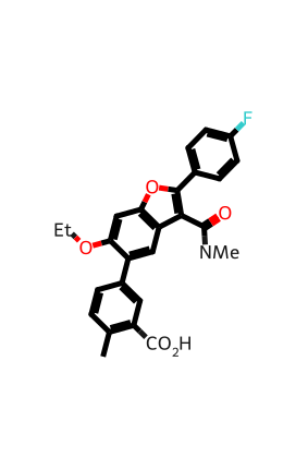 CCOc1cc2oc(-c3ccc(F)cc3)c(C(=O)NC)c2cc1-c1ccc(C)c(C(=O)O)c1